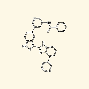 O=C(Nc1cncc(-c2ccc3[nH]nc(-c4nc5c(-c6cccnc6)cccc5[nH]4)c3c2)c1)c1ccccc1